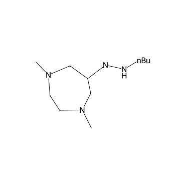 CCCCN[N]C1CN(C)CCN(C)C1